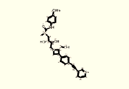 COc1ccc(NC(=O)N(C)C[C@@H](O)[C@@H](O)CN2CC(c3ccc(C#Cc4cccnc4)cc3)[C@H]2CO)cc1